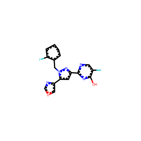 Oc1nc(-c2cc(-c3cocn3)n(Cc3ccccc3F)n2)ncc1F